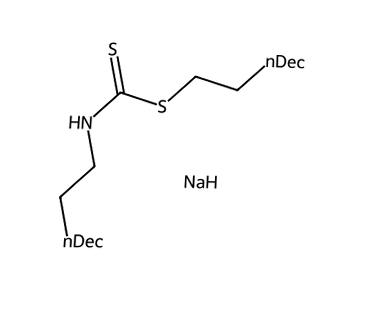 CCCCCCCCCCCCNC(=S)SCCCCCCCCCCCC.[NaH]